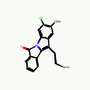 COc1cc2c(CCNC(C)=O)c3n(c2cc1Cl)C(=O)c1ccccc1-3